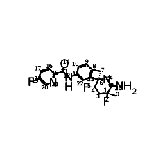 C[C@@]1(F)C[C@H](F)[C@]2(Cc3ccc(NC(=O)c4ccc(F)cn4)cc32)N=C1N